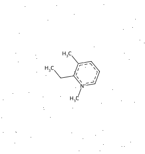 CCc1c(C)ccc[n+]1C